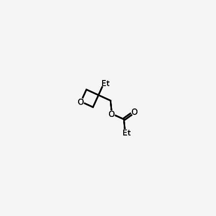 CCC(=O)OCC1(CC)COC1